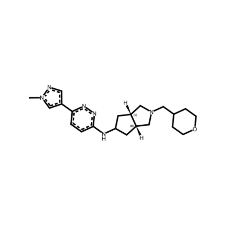 Cn1cc(-c2ccc(NC3C[C@@H]4CN(CC5CCOCC5)C[C@@H]4C3)nn2)cn1